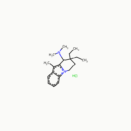 CCC1(CC)CCn2c(c(C)c3ccccc32)C1N(C)C.Cl